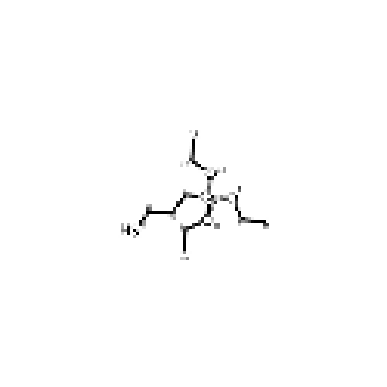 CC[O][Ge]([CH2]CCS)([O]CC)[O]CC